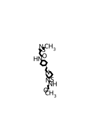 COCCNc1nc2c(s1)CCN(CC[C@H]1CC[C@H](NC(=O)Cc3cnc(C)s3)CC1)C2